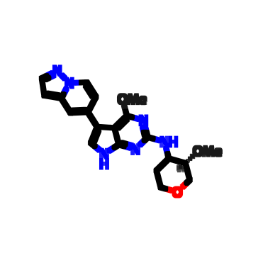 COc1nc(NC2CCOC[C@H]2OC)nc2[nH]cc(-c3ccn4nccc4c3)c12